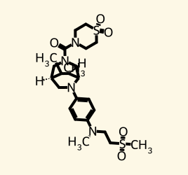 CC1[C@@H]2CN(C(=O)N3CCS(=O)(=O)CC3)CC([C@H]1C)N(c1ccc(N(C)CCS(C)(=O)=O)cc1)C2